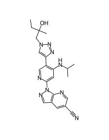 CCC(C)(O)Cn1cc(-c2cnc(-n3ncc4cc(C#N)cnc43)cc2NC(C)C)nn1